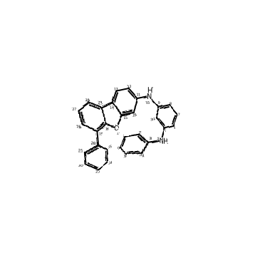 c1ccc(Nc2cccc(Nc3ccc4c(c3)oc3c(-c5ccccc5)cccc34)c2)cc1